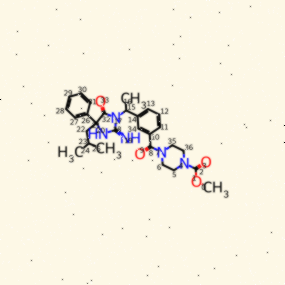 COC(=O)N1CCN(C(=O)c2cccc(C(C)N3C(=N)NC(CC(C)C)(c4ccccc4)C3=O)c2)CC1